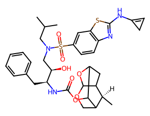 CC(C)CN(C[C@@H](O)[C@H](Cc1ccccc1)NC(=O)OC1C2CC3C(OCC1[C@@H]3C)O2)S(=O)(=O)c1ccc2nc(NC3=CC3)sc2c1